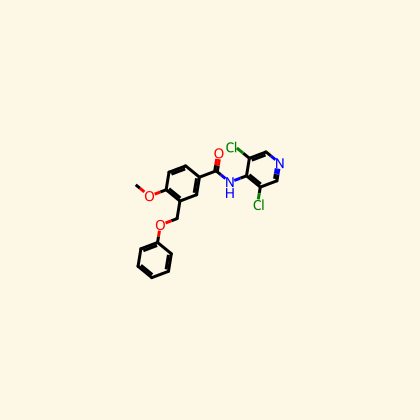 COc1ccc(C(=O)Nc2c(Cl)cncc2Cl)cc1COc1ccccc1